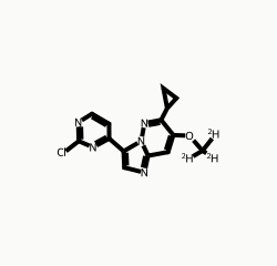 [2H]C([2H])([2H])Oc1cc2ncc(-c3ccnc(Cl)n3)n2nc1C1CC1